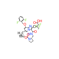 Cc1cc(OCc2c(F)cccc2F)c2nc(C)c(C(=O)NC[C@H]3CCCN3C(=O)OC(C)(C)C)n2c1.O=C(O)C(F)(F)F